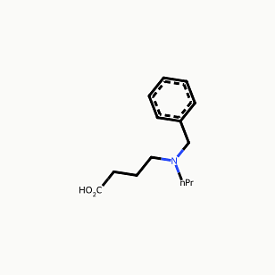 CCCN(CCCC(=O)O)Cc1ccccc1